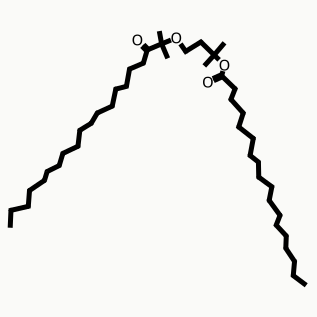 CCCCCCCCCCCCCCCCCC(=O)OC(C)(C)CCOC(C)(C)C(=O)CCCCCCCCCCCCCCCCC